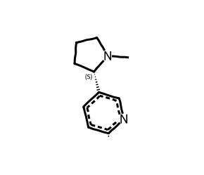 CN1CCC[C@H]1c1cc[c]nc1